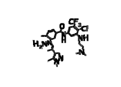 C/C(=C\N(N)c1cc(C(=O)Nc2cc(NCCN(C)C)c(Cl)c(C(F)(F)F)c2)ccc1C)c1cnn(C)c1C